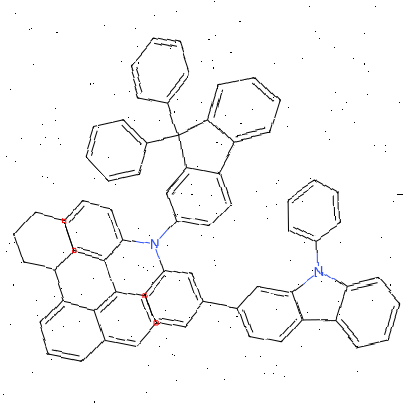 c1ccc(-n2c3ccccc3c3ccc(-c4cccc(N(c5ccc6c(c5)C(c5ccccc5)(c5ccccc5)c5ccccc5-6)c5ccccc5-c5cccc6cccc(C7CCCCC7)c56)c4)cc32)cc1